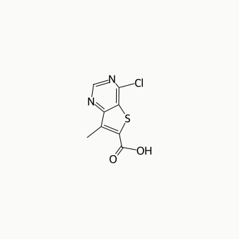 Cc1c(C(=O)O)sc2c(Cl)ncnc12